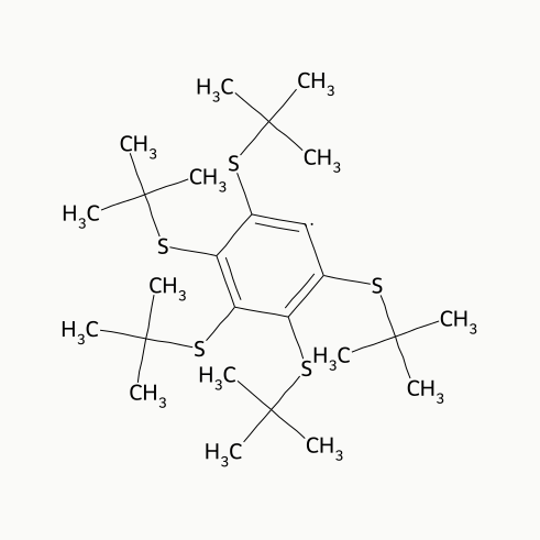 CC(C)(C)Sc1[c]c(SC(C)(C)C)c(SC(C)(C)C)c(SC(C)(C)C)c1SC(C)(C)C